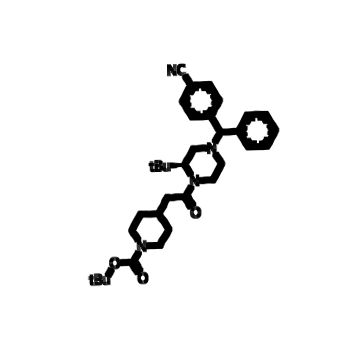 CC(C)(C)OC(=O)N1CCC(CC(=O)N2CCN(C(c3ccccc3)c3ccc(C#N)cc3)C[C@@H]2C(C)(C)C)CC1